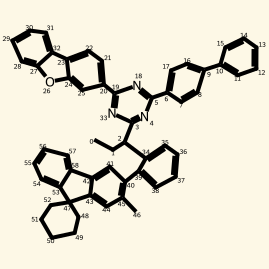 CCC(c1nc(-c2ccc(-c3ccccc3)cc2)nc(-c2ccc3c(c2)oc2ccccc23)n1)c1ccccc1-c1cc2c(cc1C)C1(CCCCC1)c1ccccc1-2